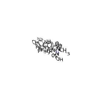 CN1/C(=N/C(=O)O)N[C@](C)(c2cccc(Nc3c(N)ccc(Cl)c3C(F)(F)F)c2F)CS1(=O)=O